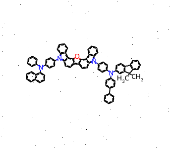 CC1(C)c2ccccc2-c2ccc(N(c3ccc(-c4ccccc4)cc3)c3ccc(-n4c5ccccc5c5c6oc7c(ccc8c7c7ccccc7n8-c7ccc(N(c8ccccc8)c8cccc9ccccc89)cc7)c6ccc54)cc3)cc21